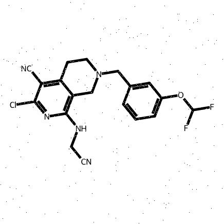 N#CCNc1nc(Cl)c(C#N)c2c1CN(Cc1cccc(OC(F)F)c1)CC2